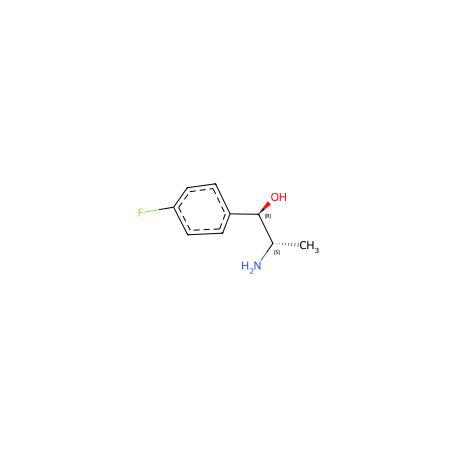 C[C@H](N)[C@H](O)c1ccc(F)cc1